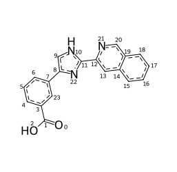 O=C(O)c1cccc(-c2c[nH]c(-c3cc4ccccc4cn3)n2)c1